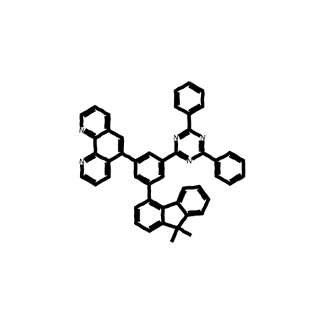 CC1(C)c2ccccc2-c2c(-c3cc(-c4nc(-c5ccccc5)nc(-c5ccccc5)n4)cc(-c4cc5cccnc5c5ncccc45)c3)cccc21